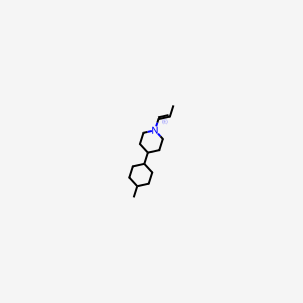 C/C=C/N1CCC(C2CCC(C)CC2)CC1